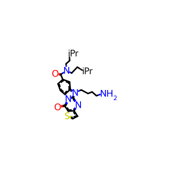 CC(C)CCN(CCC(C)C)C(=O)c1ccc2c(c1)n(CCCCN)c1nc3ccsc3c(=O)n21